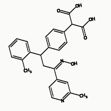 Cc1cc(C(CC(c2ccc(C(C(=O)O)C(=O)O)cc2)c2ccccc2C)=NO)ccn1